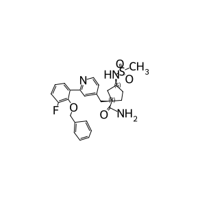 CS(=O)(=O)N[C@H]1CC[C@](Cc2ccnc(-c3cccc(F)c3OCc3ccccc3)c2)(C(N)=O)C1